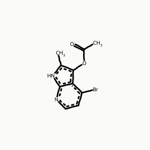 CC(=O)Oc1c(C)[nH]c2nccc(Br)c12